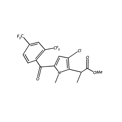 COC(=O)C(C)c1c(Cl)cc(C(=O)c2ccc(C(F)(F)F)cc2C(F)(F)F)n1C